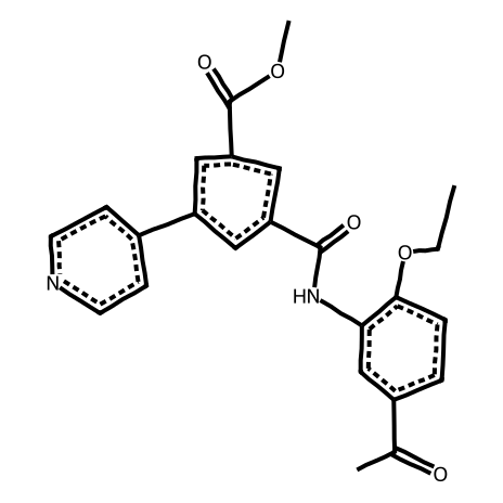 CCOc1ccc(C(C)=O)cc1NC(=O)c1cc(C(=O)OC)cc(-c2ccncc2)c1